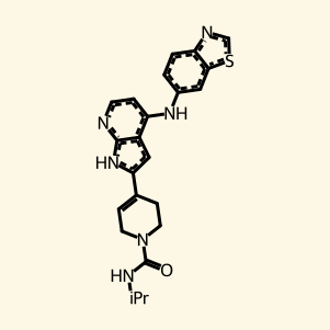 CC(C)NC(=O)N1CC=C(c2cc3c(Nc4ccc5ncsc5c4)ccnc3[nH]2)CC1